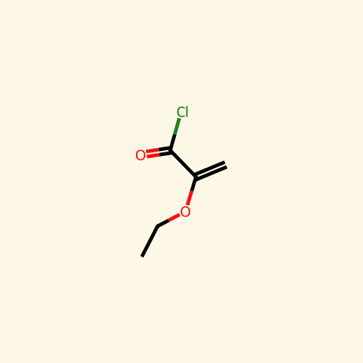 C=C(OCC)C(=O)Cl